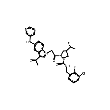 CC(=O)c1cn(CC(=O)N2CC(C(F)F)C[C@H]2C(=O)NCc2cccc(Cl)c2F)c2ccc(Nc3cncnc3)cc12